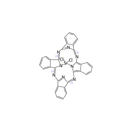 Cl[Si]1(Cl)n2c3c4ccccc4c2/N=C2N=C(/N=c4/c5ccccc5/c(n41)=N/C1=NC(=N\3)/c3ccccc31)c1ccccc1\2